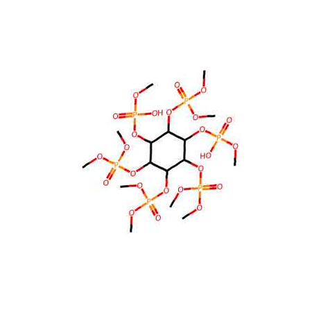 COP(=O)(O)OC1C(OP(=O)(OC)OC)C(OP(=O)(O)OC)C(OP(=O)(OC)OC)C(OP(=O)(OC)OC)C1OP(=O)(OC)OC